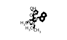 CC(C)CN1CN(C)Cc2c1cn(Cc1cccc3ccccc13)c2C(=O)N1CCC[C@@H]1CO